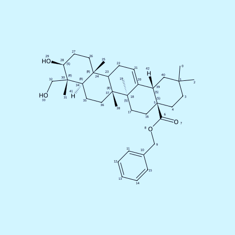 CC1(C)CC[C@]2(C(=O)OCc3ccccc3)CC[C@]3(C)C(=CCC4[C@@]5(C)CC[C@H](O)[C@@](C)(CO)[C@@H]5CC[C@]43C)[C@@H]2C1